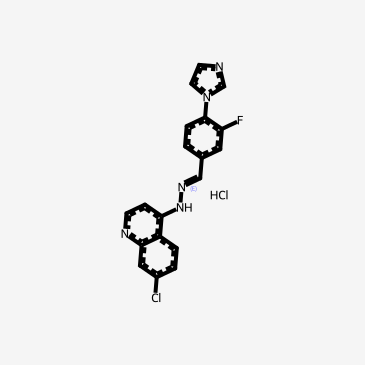 Cl.Fc1cc(/C=N/Nc2ccnc3cc(Cl)ccc23)ccc1-n1ccnc1